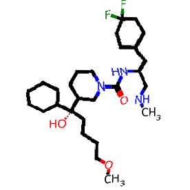 CNCC(CC1CCC(F)(F)CC1)NC(=O)N1CCCC([C@@](O)(CCCCOC)C2CCCCC2)C1